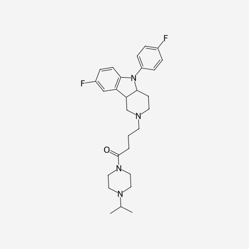 CC(C)N1CCN(C(=O)CCCN2CCC3C(C2)c2cc(F)ccc2N3c2ccc(F)cc2)CC1